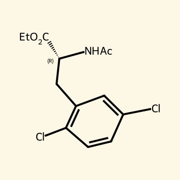 CCOC(=O)[C@@H](Cc1cc(Cl)ccc1Cl)NC(C)=O